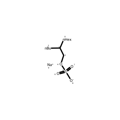 CCCCCCC(CCCC)COS(=O)(=O)[O-].[Na+]